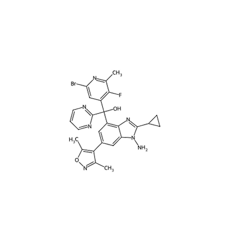 Cc1nc(Br)cc(C(O)(c2ncccn2)c2cc(-c3c(C)noc3C)cc3c2nc(C2CC2)n3N)c1F